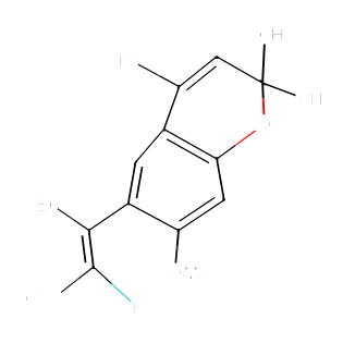 CCC(=C(F)C(=O)O)c1cc2c(cc1OC)OC(C)(C)C=C2C(C)C